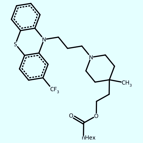 CCCCCCC(=O)OCCC1(C)CCN(CCCN2c3ccccc3Sc3ccc(C(F)(F)F)cc32)CC1